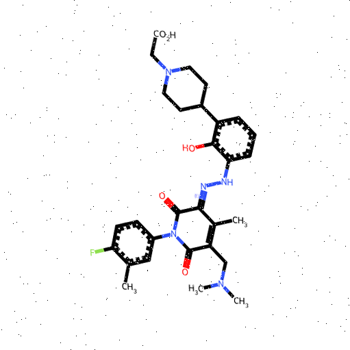 CC1=C(CN(C)C)C(=O)N(c2ccc(F)c(C)c2)C(=O)/C1=N/Nc1cccc(C2CCN(CC(=O)O)CC2)c1O